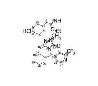 CCOC(=N)CC1CCCCC1.Cl.Cn1nc(CC2CCCCC2)n(Cc2ccnc(C(F)(F)F)c2)c1=O